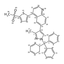 Cc1nn(C(c2ccccc2)(c2ccccc2)C2C=CC=CC2)cc1-c1ccc2nccc(-c3ccc(S(C)(=O)=O)s3)c2c1